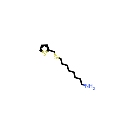 NCCCCCCCCSCc1cccs1